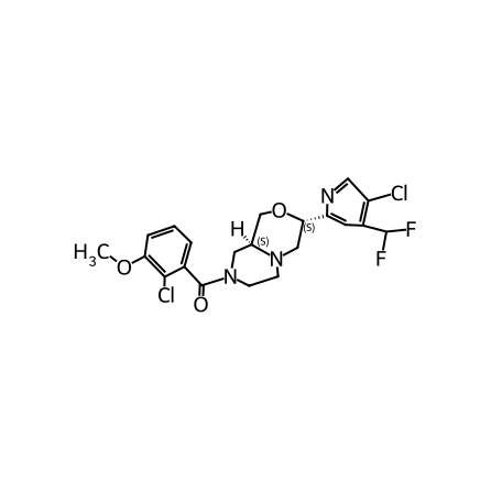 COc1cccc(C(=O)N2CCN3C[C@@H](c4cc(C(F)F)c(Cl)cn4)OC[C@@H]3C2)c1Cl